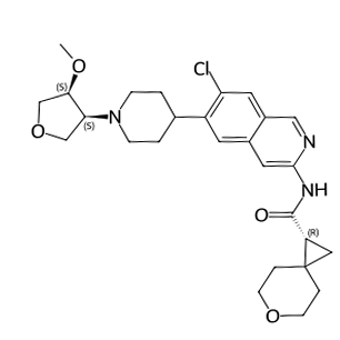 CO[C@@H]1COC[C@@H]1N1CCC(c2cc3cc(NC(=O)[C@@H]4CC45CCOCC5)ncc3cc2Cl)CC1